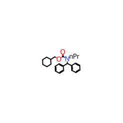 CCCN(C(=O)OCC1CCCCC1)C(c1ccccc1)c1ccccc1